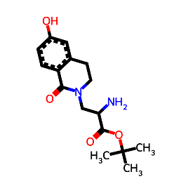 CC(C)(C)OC(=O)C(N)CN1CCc2cc(O)ccc2C1=O